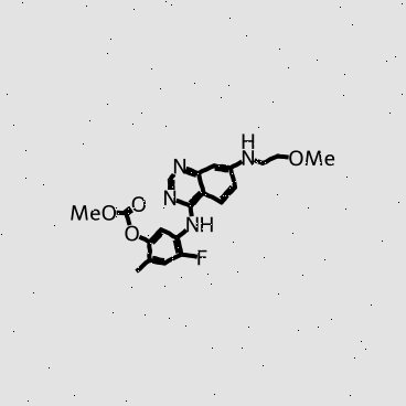 COCCNc1ccc2c(Nc3cc(OC(=O)OC)c(C)cc3F)ncnc2c1